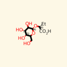 CC[C@@H](O[C@H]1OC(CO)[C@@H](O)[C@H](O)C1O)C(=O)O